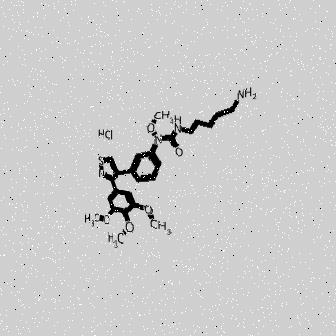 COc1cc(-c2nscc2-c2cccc(N(OC)C(=O)NCCCCCN)c2)cc(OC)c1OC.Cl